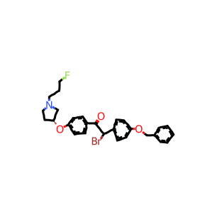 O=C(c1ccc(O[C@@H]2CCN(CCCF)C2)cc1)C(Br)c1ccc(OCc2ccccc2)cc1